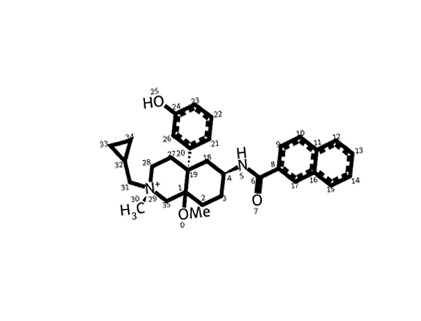 COC12CC[C@H](NC(=O)c3ccc4ccccc4c3)C[C@]1(c1cccc(O)c1)CC[N@+](C)(CC1CC1)C2